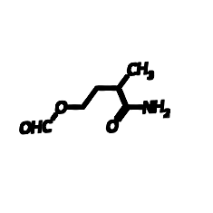 CC(CCOC=O)C(N)=O